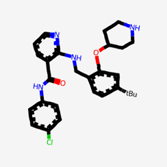 CC(C)(C)c1ccc(CNc2ncccc2C(=O)Nc2ccc(Cl)cc2)c(OC2CCNCC2)c1